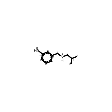 CC(C)CNCc1cccc(S)c1